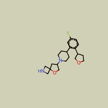 Fc1ccc(C2CCOC2)c(C2CCN(C3COC4(CNC4)C3)CC2)c1